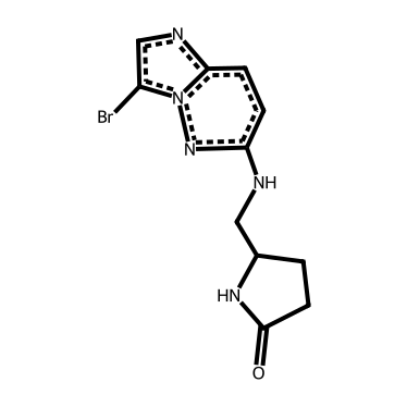 O=C1CCC(CNc2ccc3ncc(Br)n3n2)N1